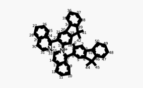 Cc1cc2c(cc1-c1c3ccccc3cc[n+]1-c1cc3c(cc1-c1c4ccccc4cc[n+]1C)-c1ccccc1C3(C)C)C(C)(C)c1ccccc1-2